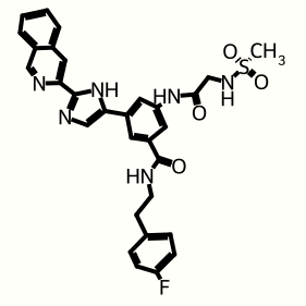 CS(=O)(=O)NCC(=O)Nc1cc(C(=O)NCCc2ccc(F)cc2)cc(-c2cnc(-c3cc4ccccc4cn3)[nH]2)c1